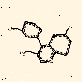 O=[N+]([O-])c1cnc2ccc(Cl)cc2c1-c1cccc(Cl)c1